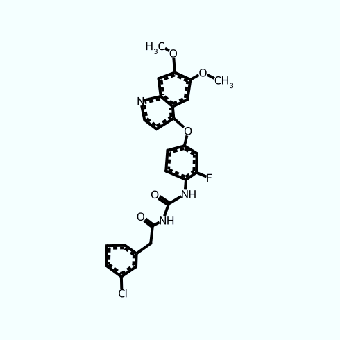 COc1cc2nccc(Oc3ccc(NC(=O)NC(=O)Cc4cccc(Cl)c4)c(F)c3)c2cc1OC